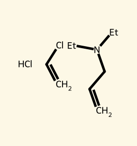 C=CCN(CC)CC.C=CCl.Cl